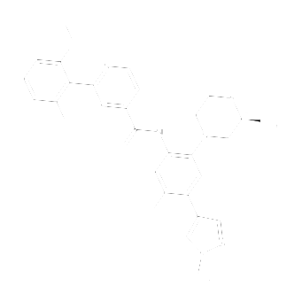 COc1cccc(F)c1-c1nccc(C(=O)Nc2cc(F)c(-c3cnn(C)c3)cc2N2CCN[C@@H](C)C2)n1